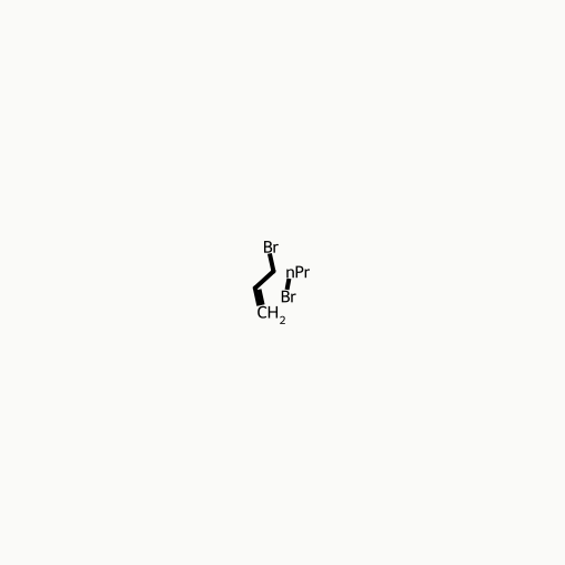 C=CCBr.CCCBr